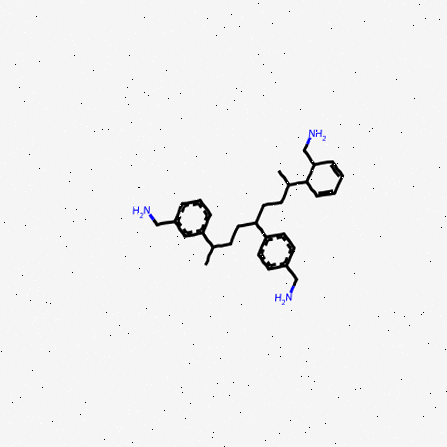 CC(CCC(CCC(C)C1C=CC=CC1CN)c1ccc(CN)cc1)c1cccc(CN)c1